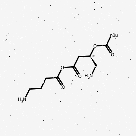 CCCCC(=O)O[C@@H](CN)CC(=O)OC(=O)CCCN